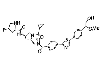 COC(CO)c1ccc(-c2cnc(-c3ccc(C(=O)NC[C@H]4C[C@@H](NC(=O)[C@@H]5C[C@H](F)CN5)CN4C(=O)C4CC4)cc3)s2)cc1